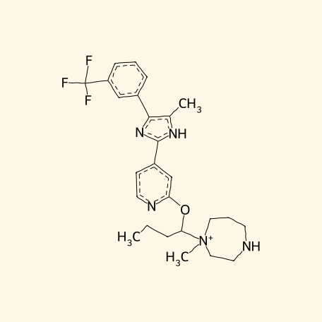 CCCC(Oc1cc(-c2nc(-c3cccc(C(F)(F)F)c3)c(C)[nH]2)ccn1)[N+]1(C)CCCNCC1